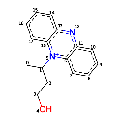 CC(CCO)[n+]1c2ccccc2nc2ccccc21